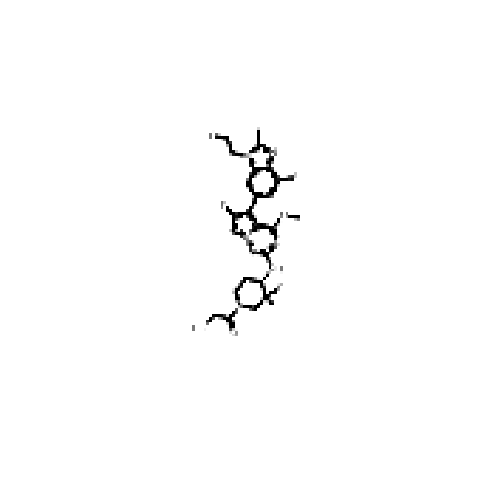 COc1nc(N[C@@H]2CCN(C(=O)CO)CC2(F)F)nn2cc(F)c(-c3cc(F)c4nc(C)n(CCF)c4c3)c12